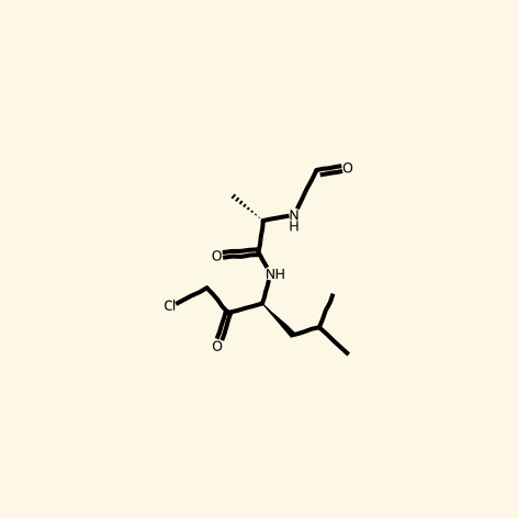 CC(C)C[C@H](NC(=O)[C@H](C)NC=O)C(=O)CCl